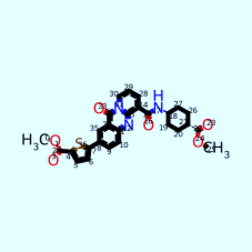 COC(=O)c1ccc(-c2ccc3nc4c(C(=O)N[C@H]5CC[C@@H](C(=O)OC)CC5)cccn4c(=O)c3c2)s1